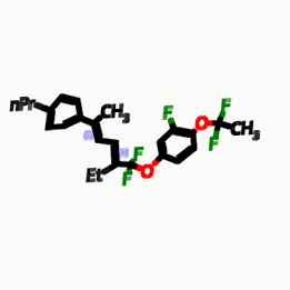 CCCc1ccc(/C(C)=C/C=C(\CC)C(F)(F)Oc2ccc(OC(C)(F)F)c(F)c2)cc1